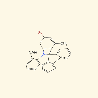 CNc1ccccc1N1C2=C(C(C)=CC(Br)C2)C12c1ccccc1-c1ccccc12